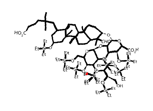 CC[Si](CC)(CC)OCC1O[C@@H](OC2C(O[C@H](O[Si](CC)(CC)CC)C(O[Si](CC)(CC)CC)[C@@H](CO)O[Si](CC)(CC)CC)[C@H](O[Si](CC)(CC)CC)C(C(=O)O)O[C@H]2O[C@H]2CCC3(C)C(CCC4(C)C3CC=C3C(CC(C)(C)CCCC(=O)O)CC(O[Si](CC)(CC)CC)CC34C)C2(C)C=O)C(O[Si](CC)(CC)CC)C(O[Si](CC)(CC)CC)[C@H]1O[Si](CC)(CC)CC